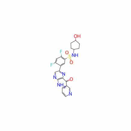 Nc1ncc(-c2cc(S(=O)(=O)NC3CCC(O)CC3)c(F)cc2F)nc1C(=O)c1cccnc1